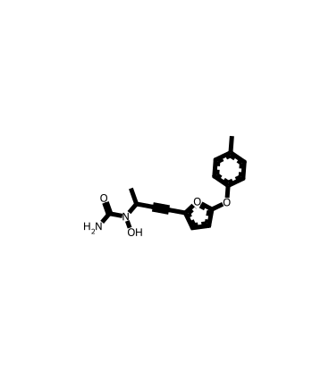 Cc1ccc(Oc2ccc(C#CC(C)N(O)C(N)=O)o2)cc1